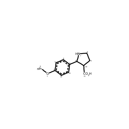 CCCOc1ccc(C2NCCC2C(=O)O)cc1